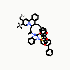 C=C1CC2C(CCc3ccc4c(sc5cc(-c6ccccc6)ccc54)c3-c3n(-c4ccccc4-c4ccccc4)c4ccccc4[n+]31)c1ccccc1-c1cc(CC(C)(C)C)c([Si](C)(C)C)c[n+]12